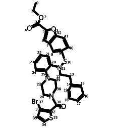 CCOC(=O)c1cc2cc(SN(CCc3ccccc3)c3ccccc3N3CCN(C(=O)c4sccc4Br)CC3)ccc2o1